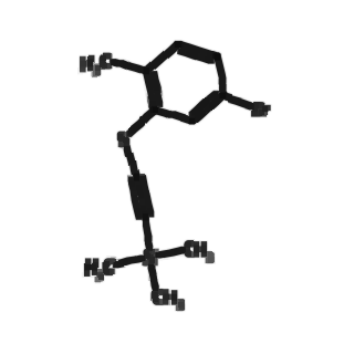 Cc1ccc(Br)cc1SC#C[Si](C)(C)C